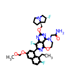 CCc1c(F)ccc2cc(OCOC)cc(-c3nc4c5c(nc(OC[C@@]67CCCN6C[C@H](F)C7)nc5c3F)N(CC(N)=O)CCO4)c12